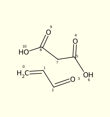 C=CC=O.O=C(O)CC(=O)O